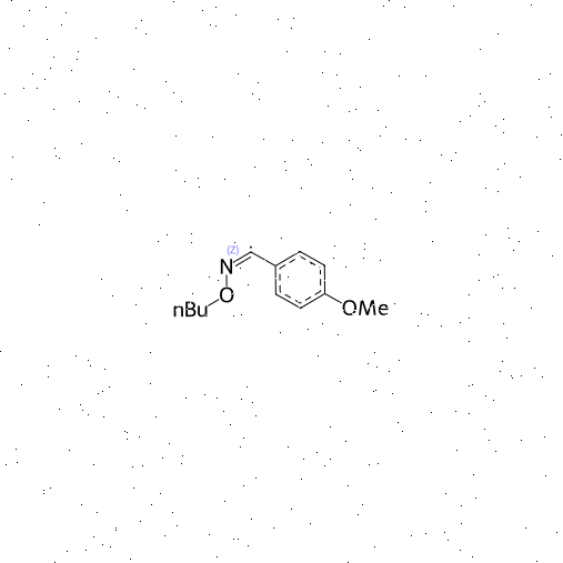 CCCCO/N=[C]\c1ccc(OC)cc1